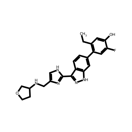 CCc1cc(O)c(F)cc1-c1ccc2c(-c3nc(CNC4CCOC4)c[nH]3)n[nH]c2c1